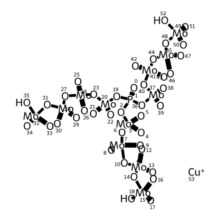 O=P([O][Mo](=[O])(=[O])[O][Mo](=[O])(=[O])[O][Mo](=[O])(=[O])[O][Mo](=[O])(=[O])[OH])([O][Mo](=[O])(=[O])[O][Mo](=[O])(=[O])[O][Mo](=[O])(=[O])[O][Mo](=[O])(=[O])[OH])[O][Mo](=[O])(=[O])[O][Mo](=[O])(=[O])[O][Mo](=[O])(=[O])[O][Mo](=[O])(=[O])[OH].[Cu+]